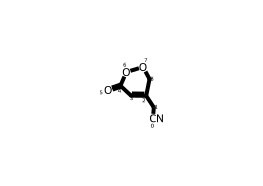 N#CCC1=CC(=O)OOC1